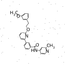 COc1cccc(CCOc2cccc(-c3cccc(C(=O)Nc4ccnc(C)c4)c3)n2)c1